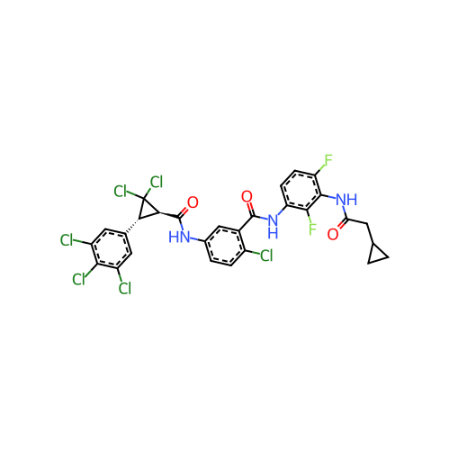 O=C(CC1CC1)Nc1c(F)ccc(NC(=O)c2cc(NC(=O)[C@H]3[C@H](c4cc(Cl)c(Cl)c(Cl)c4)C3(Cl)Cl)ccc2Cl)c1F